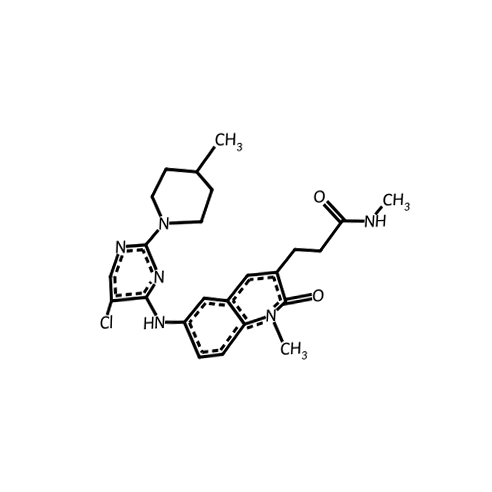 CNC(=O)CCc1cc2cc(Nc3nc(N4CCC(C)CC4)ncc3Cl)ccc2n(C)c1=O